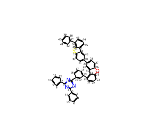 c1ccc(-c2nc(-c3ccccc3)nc(-c3cccc(-c4cccc5oc6ccc(-c7ccc8sc9c(-c%10ccccc%10)cccc9c8c7)cc6c45)c3)n2)cc1